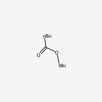 CCC[CH]C(=O)OC(C)(C)C